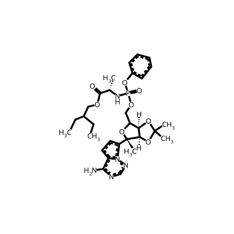 CCC(CC)COC(=O)[C@H](C)NP(=O)(OCC1O[C@@](C)(c2ccc3c(N)ncnn23)[C@@H]2OC(C)(C)O[C@H]12)Oc1ccccc1